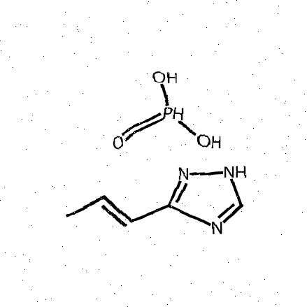 CC=Cc1nc[nH]n1.O=[PH](O)O